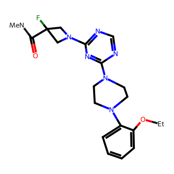 CCOc1ccccc1N1CCN(c2ncnc(N3CC(F)(C(=O)NC)C3)n2)CC1